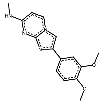 CNc1ccn2cc(-c3ccc(OC)c(OC)c3)nc2n1